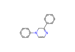 C1=CN(c2ccccc2)CC(c2ccccc2)=N1